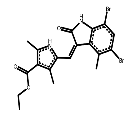 CCOC(=O)c1c(C)[nH]c(C=C2C(=O)Nc3c(Br)cc(Br)c(C)c32)c1C